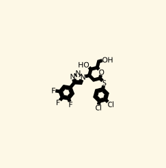 OCC1OC(Sc2ccc(Cl)c(Cl)c2)CC(n2cc(-c3cc(F)c(F)c(F)c3)nn2)C1O